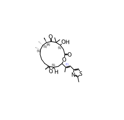 C/C(=C\c1csc(C)n1)C1C[C@@H]2O[C@]2(C)CCC[C@H](C)[C@H](C)[C@@H](C)C(=O)C(C)(C)[C@@H](O)CC(=O)O1